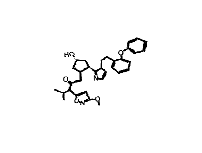 COc1cc(C(C(=O)CC2C[C@H](O)C[C@H]2C2=NC=CC2CCc2ccccc2Oc2ccccc2)C(C)C)on1